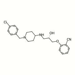 N#Cc1ccccc1OC[C@@H](O)CNC1CCN(Cc2ccc(Cl)cc2)CC1